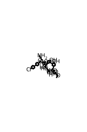 CC1OC1C(=O)[C@H](C)NC(=O)C1Cc2ccc(O)c(c2)-c2cc(ccc2O)[C@H](N(C)C(=O)[C@H](CCCCN)NC(=O)c2ccc(-c3ccc(Cl)cc3)cc2)C(=O)N[C@@H](C)C(=O)N1